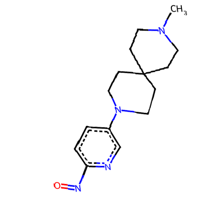 CN1CCC2(CC1)CCN(c1ccc(N=O)nc1)CC2